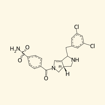 NS(=O)(=O)c1ccc(C(=O)N2C=C3C(Cc4cc(Cl)cc(Cl)c4)NC[C@@H]3C2)cc1